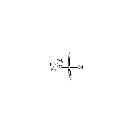 N.N.O=S(=O)(O)O.[Pd]